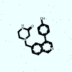 O=C1CN(Cc2ccc3cncc(-c4ccc(O)cc4)c3c2)CCN1